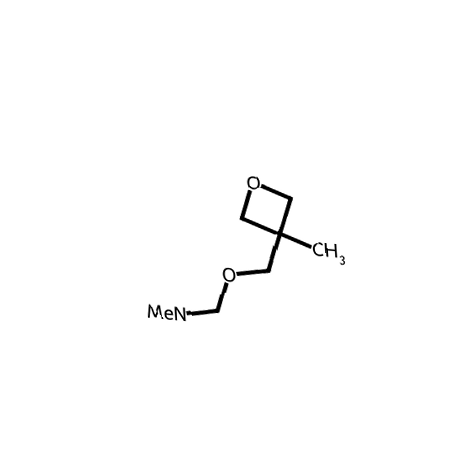 CNCOCC1(C)COC1